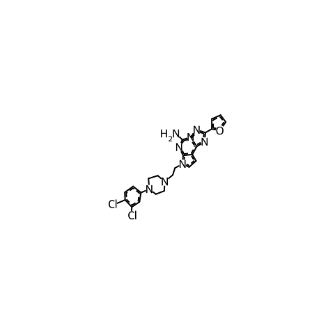 Nc1nc2c(ccn2CCN2CCN(c3ccc(Cl)c(Cl)c3)CC2)c2nc(-c3ccco3)nn12